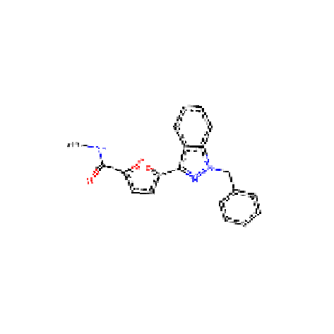 CCCNC(=O)c1ccc(-c2nn(Cc3ccccc3)c3ccccc23)o1